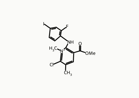 COC(=O)c1cc(C)c(Cl)[n+](C)c1Nc1ccc(I)cc1F